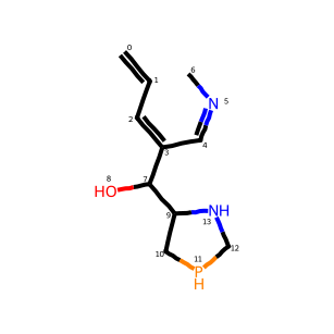 C=C/C=C(\C=N/C)C(O)C1CPCN1